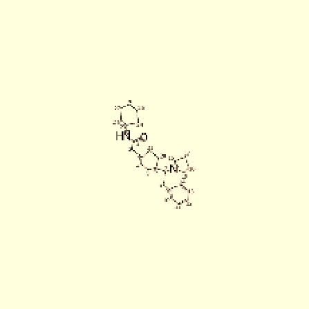 O=C(CC1CCC(C(Cc2ccccc2)N2CCCC2)CC1)NC1CCCCC1